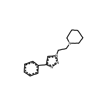 [c]1ccc(-c2cn(CCN3CCCCC3)nn2)cc1